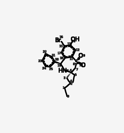 CCCC[C@@]1(CC)CS(=O)(=O)c2cc(O)c(Br)cc2[C@H](c2ccccc2)N1